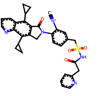 [C-]#[N+]c1cc(CS(=O)(=O)NC(=O)Cc2ccccn2)ccc1N1Cc2c(c(C3CC3)c3cccnc3c2C2CC2)C1=O